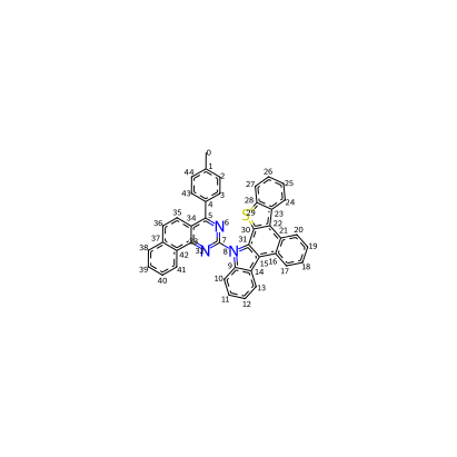 Cc1ccc(-c2nc(-n3c4ccccc4c4c5ccccc5c5c6ccccc6sc5c43)nc3c2ccc2ccccc23)cc1